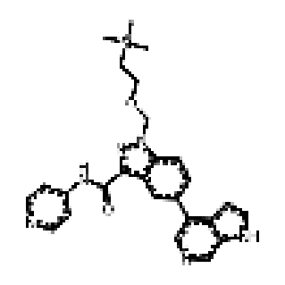 C[Si](C)(C)CCOCn1nc(C(=O)Nc2ccncc2)c2cc(-c3cncc4[nH]ccc34)ccc21